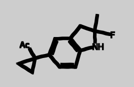 CC(=O)C1(c2ccc3c(c2)CC(C)(F)N3)CC1